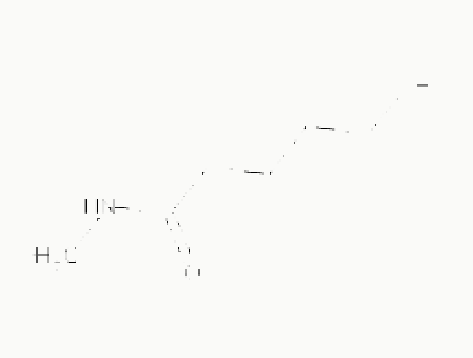 [CH2]NC(=O)CCCCC